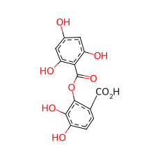 O=C(O)c1ccc(O)c(O)c1OC(=O)c1c(O)cc(O)cc1O